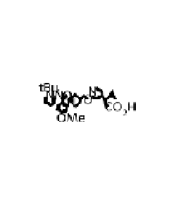 COc1ccc(C(=O)N(CC(C)(C)C)c2ccccn2)c(N2CCC(COc3cc(C(CC(=O)O)C4CC4)ccn3)CC2)c1